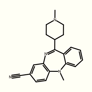 CN1CCC(C2=Nc3cc(C#N)ccc3N(C)c3ccccc32)CC1